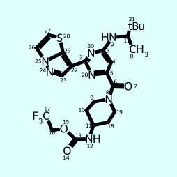 CC(Nc1cc(C(=O)N2CCC(NC(=O)OCC(F)(F)F)CC2)nc(-c2cnn3ccsc23)n1)C(C)(C)C